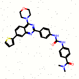 CN(C)C(=O)c1ccc(NC(=O)Nc2ccc(-c3nc(N4CCOCC4)c4ccc(-c5cccs5)cc4n3)cc2)cc1